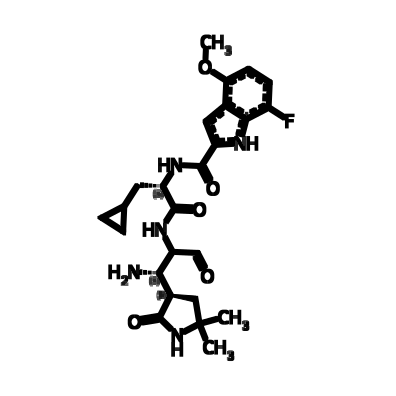 COc1ccc(F)c2[nH]c(C(=O)N[C@@H](CC3CC3)C(=O)NC(C=O)[C@@H](N)[C@H]3CC(C)(C)NC3=O)cc12